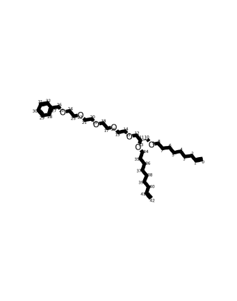 C=CCCCCCCCOC[C@@H](COCCOCCOCCOCCOCc1ccccc1)OCCCCCCCC=C